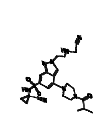 CC(C)C(=O)N1CCN(c2cc(S(=O)(=O)NC3(C#N)CC3)cc3nn(CCNCC#N)cc23)CC1